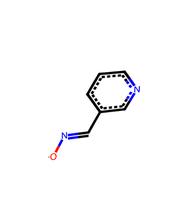 [O]/N=C/c1cccnc1